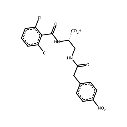 O=C(Cc1ccc([N+](=O)[O-])cc1)NC[C@H](NC(=O)c1c(Cl)cccc1Cl)C(=O)O